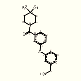 NCc1cc(Oc2cccc(C(=O)N3CCC(O)(C(F)(F)F)CC3)c2)ncn1